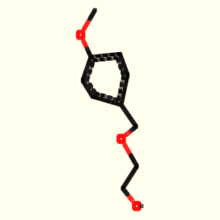 COc1ccc(COCC[O])cc1